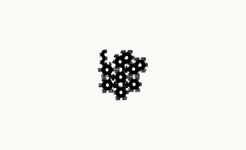 CCCCc1ccc(N2c3ccccc3B3c4ccccc4N(c4ccccc4)c4cc(N(c5ccc6ccccc6c5)c5cccc6ccccc56)cc2c43)cc1